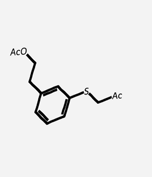 CC(=O)CSc1cccc(CCOC(C)=O)c1